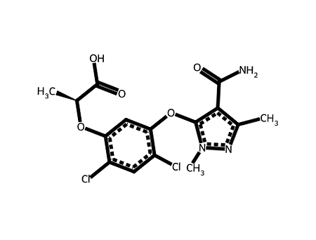 Cc1nn(C)c(Oc2cc(O[C@@H](C)C(=O)O)c(Cl)cc2Cl)c1C(N)=O